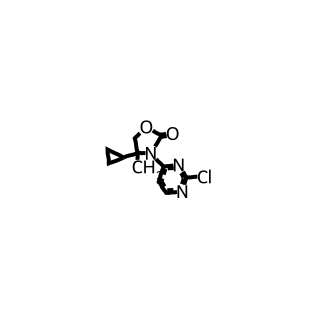 CC1(C2CC2)COC(=O)N1c1ccnc(Cl)n1